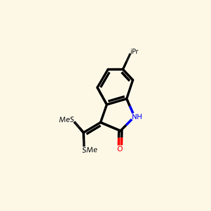 CSC(SC)=C1C(=O)Nc2cc(C(C)C)ccc21